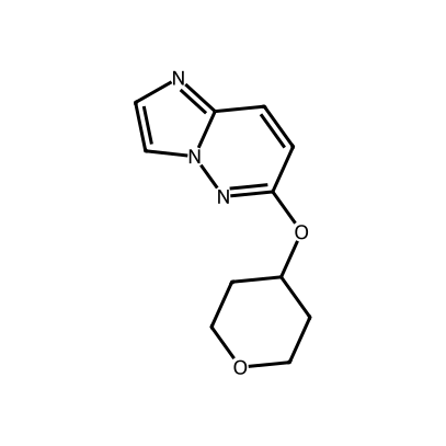 c1cn2nc(OC3CCOCC3)ccc2n1